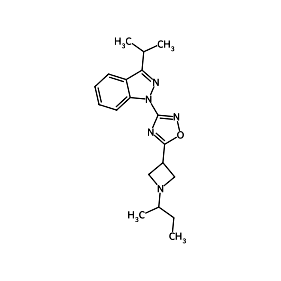 CCC(C)N1CC(c2nc(-n3nc(C(C)C)c4ccccc43)no2)C1